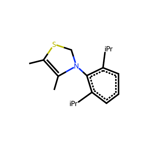 CC1=C(C)N(c2c(C(C)C)cccc2C(C)C)CS1